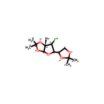 CC1(C)OCC(C2OC3OC(C)(C)O[C@@H]3C2F)O1